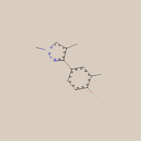 Cc1cn(C)nc1-c1ccc(O)c(Cl)c1